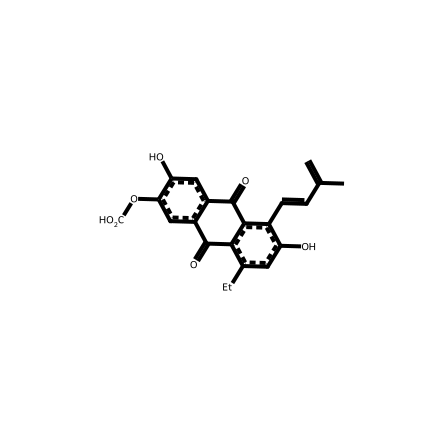 C=C(C)/C=C/c1c(O)cc(CC)c2c1C(=O)c1cc(O)c(OC(=O)O)cc1C2=O